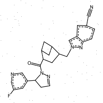 N#Cc1ccc2nn(CC3CC(C(=O)N4N=CCC4c4cncc(F)c4)C4CC3C4)cc2c1